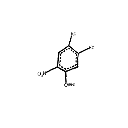 CCc1cc(OC)c([N+](=O)[O-])cc1C(C)=O